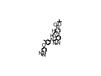 Cc1cc(Nc2ncnc3ccc4c(c23)OC[C@H]2CN(C(=O)OC(C)(C)C)CCN42)ccc1Oc1ccn2ncnc2c1